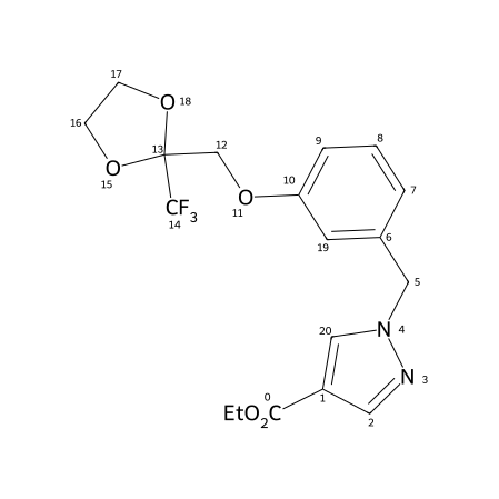 CCOC(=O)c1cnn(Cc2cccc(OCC3(C(F)(F)F)OCCO3)c2)c1